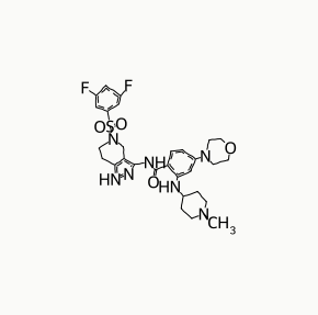 CN1CCC(Nc2cc(N3CCOCC3)ccc2C(=O)Nc2n[nH]c3c2CN(S(=O)(=O)c2cc(F)cc(F)c2)CC3)CC1